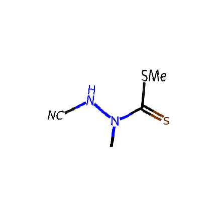 CSC(=S)N(C)NC#N